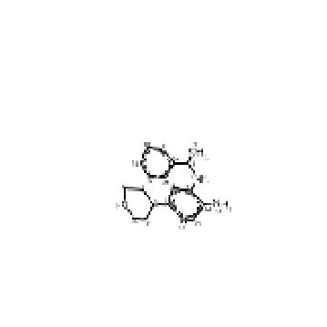 CC(Nc1cc(C2CCOCC2)ncc1N)c1ccccc1